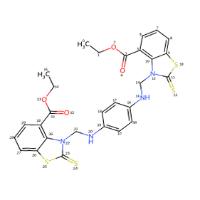 CCOC(=O)c1cccc2sc(=S)n(CNc3ccc(NCn4c(=S)sc5cccc(C(=O)OCC)c54)cc3)c12